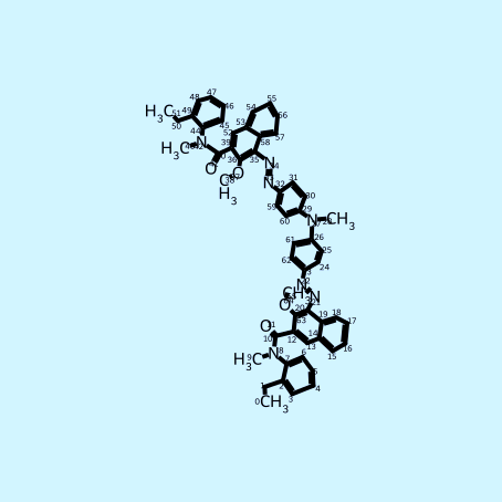 CCc1ccccc1N(C)C(=O)c1cc2ccccc2c(N=Nc2ccc(N(C)c3ccc(N=Nc4c(OC)c(C(=O)N(C)c5ccccc5CC)cc5ccccc45)cc3)cc2)c1OC